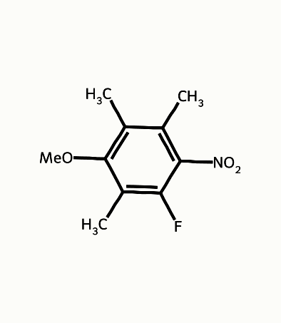 COc1c(C)c(C)c([N+](=O)[O-])c(F)c1C